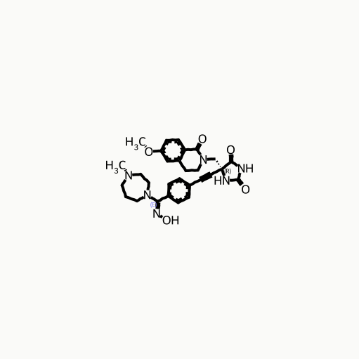 COc1ccc2c(c1)CCN(C[C@@]1(C#Cc3ccc(/C(=N\O)N4CCCN(C)CC4)cc3)NC(=O)NC1=O)C2=O